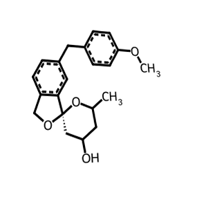 COc1ccc(Cc2ccc3c(c2)[C@]2(CC(O)CC(C)O2)OC3)cc1